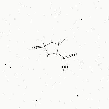 CC1CC(=O)CC1C(=O)O